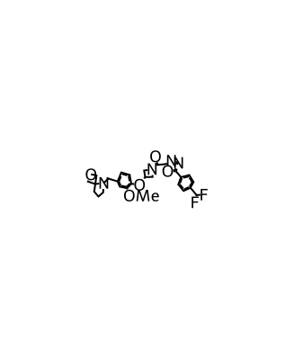 COc1cc(CN2CCCC23COC3)ccc1OC1CN(C(=O)c2nnc(-c3ccc(C(F)F)cc3)o2)C1